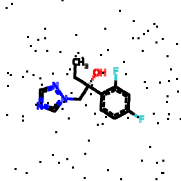 CC[C@](O)(Cn1cncn1)c1ccc(F)cc1F